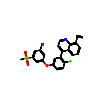 COc1cccc2c(-c3cc(Oc4cc(Cl)cc(S(C)(=O)=O)c4)ccc3F)ccnc12